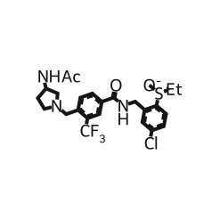 CC[S+]([O-])c1ccc(Cl)cc1CNC(=O)c1ccc(CN2CCC(NC(C)=O)C2)c(C(F)(F)F)c1